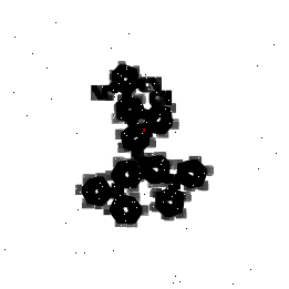 N#Cc1cccc(C#N)c1-c1ccc(-c2ccc(-n3c4ccc(N(c5ccccc5)c5ccccc5)cc4c4cc(N(c5ccccc5)c5ccccc5)ccc43)cc2)c(-c2c(C#N)cccc2C#N)c1